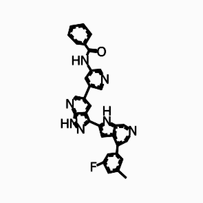 Cc1cc(F)cc(-c2cncc3[nH]c(-c4n[nH]c5ncc(-c6cncc(NC(=O)c7ccccc7)c6)cc45)cc23)c1